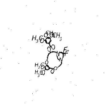 COc1cc(C(=O)O[C@@H]2CCCOc3cc(cc(OC)c3OC)C(=O)OCCCN3CCN(CC2)CC(F)(F)C3)cc(OC)c1OC